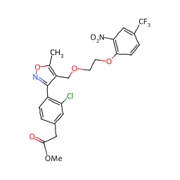 COC(=O)Cc1ccc(-c2noc(C)c2COCCOc2ccc(C(F)(F)F)cc2[N+](=O)[O-])c(Cl)c1